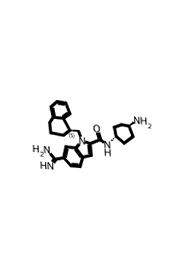 N=C(N)c1ccc2cc(C(=O)N[C@H]3CC[C@H](N)CC3)n(C[C@H]3CCCc4ccccc43)c2c1